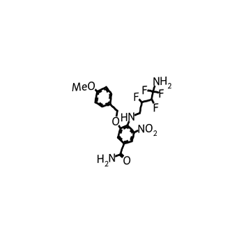 COc1ccc(COc2cc(C(N)=O)cc([N+](=O)[O-])c2NCC(F)C(F)C(N)(F)F)cc1